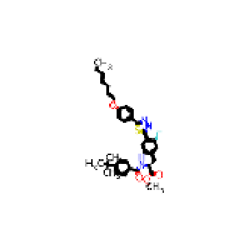 CCCCCCCOc1ccc(-c2nnc(-c3ccc(C[C@H](NC(=O)c4ccc(C(C)(C)C)cc4)C(=O)OC)cc3F)s2)cc1